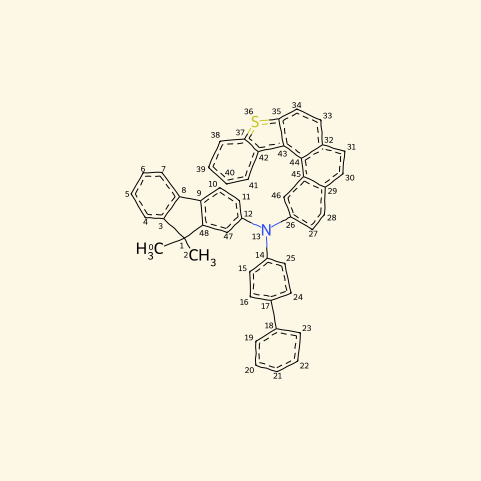 CC1(C)c2ccccc2-c2ccc(N(c3ccc(-c4ccccc4)cc3)c3ccc4ccc5ccc6sc7ccccc7c6c5c4c3)cc21